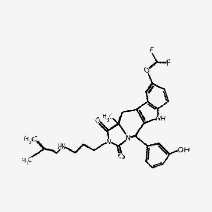 CC(C)CNCCCN1C(=O)N2C(c3cccc(O)c3)c3[nH]c4ccc(OC(F)F)cc4c3CC2(C)C1=O